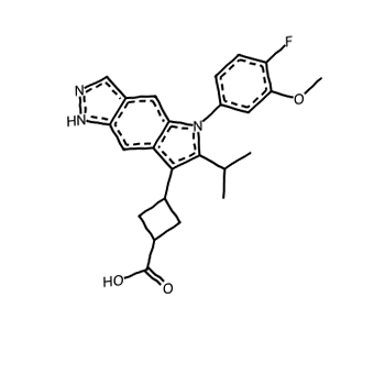 COc1cc(-n2c(C(C)C)c(C3CC(C(=O)O)C3)c3cc4[nH]ncc4cc32)ccc1F